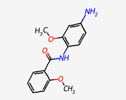 COc1cc(N)ccc1NC(=O)c1ccccc1OC